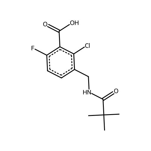 CC(C)(C)C(=O)NCc1ccc(F)c(C(=O)O)c1Cl